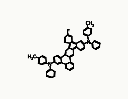 Cc1ccc(N(c2ccccc2)c2ccc3c(c2)c2ccccc2c2cc4c5ccc(N(c6ccccc6)c6ccc(C)cc6)cc5c5cc(F)ccc5c4cc32)cc1